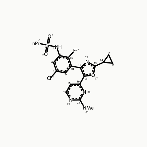 CCCS(=O)(=O)Nc1cc(Cl)cc(-c2nc(C3CC3)oc2-c2ccnc(NC)n2)c1F